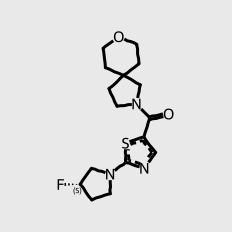 O=C(c1cnc(N2CC[C@H](F)C2)s1)N1CCC2(CCOCC2)C1